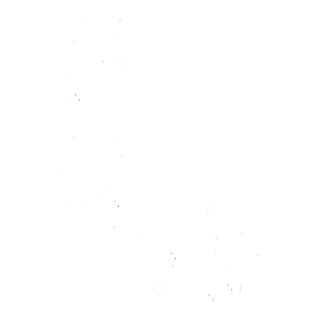 C[C@H](CCCn1ccc2cc(-c3ccc(C4(C(F)(F)F)CC4)cn3)cc(F)c2c1=O)Nc1cn[nH]c(=O)c1C(F)(F)F